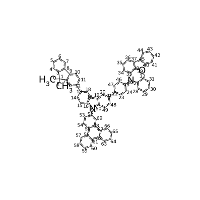 CC1(C)c2ccccc2-c2ccc(-c3ccc4c(c3)c3cc(-c5ccc(N(c6ccccc6)c6cccc7c6oc6ccccc67)cc5)ccc3n4-c3ccc4c5ccccc5c5ccccc5c4c3)cc21